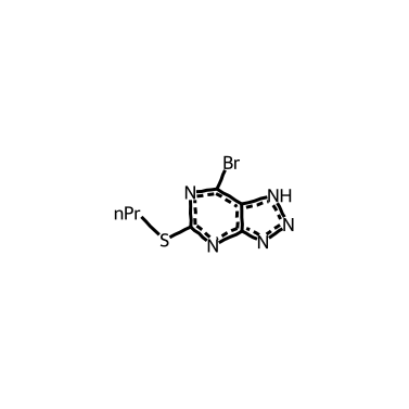 CCCSc1nc(Br)c2[nH]nnc2n1